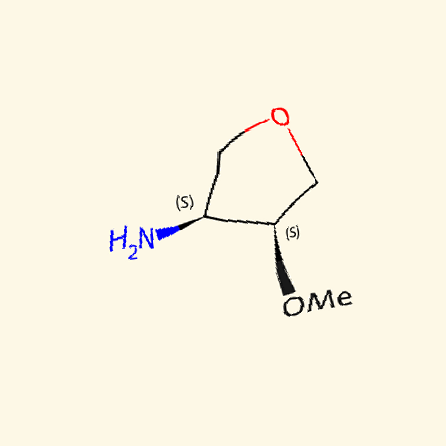 CO[C@@H]1COC[C@@H]1N